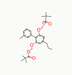 CCCc1cc(OCOC(=O)C(C)(C)C)c(-c2cccc(C)c2)c(OCOC(=O)C(C)(C)C)c1